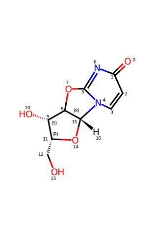 O=c1ccn2c(n1)OC1[C@@H](O)[C@@H](CO)O[C@H]12